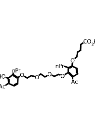 CCCc1c(OCCOCCOCCOc2c(C(C)=O)ccc(OCCCCC(=O)O)c2CCC)ccc(C(C)=O)c1O